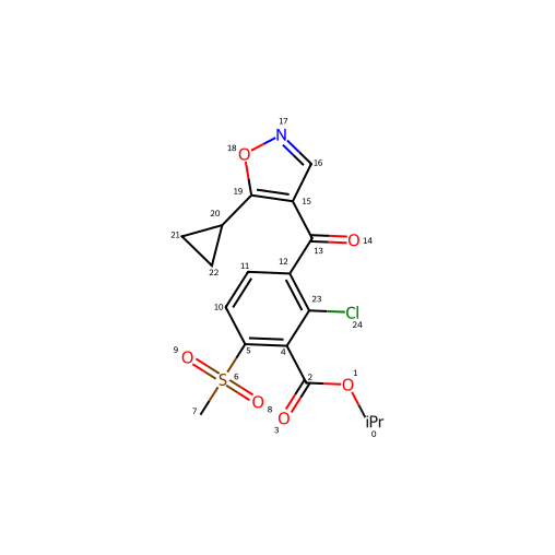 CC(C)OC(=O)c1c(S(C)(=O)=O)ccc(C(=O)c2cnoc2C2CC2)c1Cl